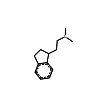 CN(C)CC[C]1CCc2ccccc21